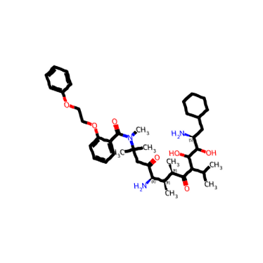 CC(C)C(C(=O)[C@H](C)[C@@H](C)[C@@H](N)C(=O)CC(C)(C)N(C)C(=O)c1ccccc1OCCOc1ccccc1)C(O)C(O)[C@@H](N)CC1CCCCC1